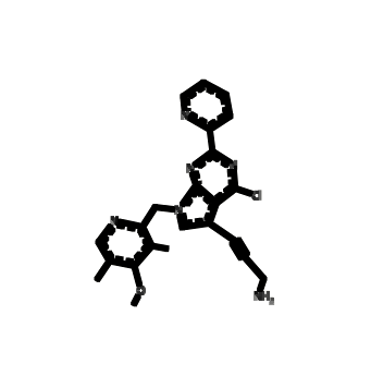 COc1c(C)cnc(Cn2cc(C#CCN)c3c(Cl)nc(-c4ccccn4)nc32)c1C